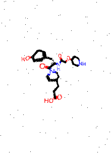 O=C(O)CCC1CCN(C(=O)[C@H](Cc2ccc(O)cc2)NC(=O)COC2CCNCC2)CC1